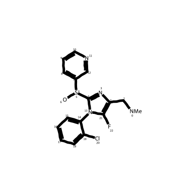 CNCc1nc([S+]([O-])c2cccnc2)n(-c2ccccc2Cl)c1F